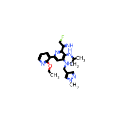 CCOc1ncccc1-c1cc(NCc2cnn(C)c2)c(NC(C)C)c(C(=N)CF)n1